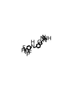 FC(F)(F)c1ccc(NCc2ccc3cc(-c4nn[nH]n4)oc3c2)cc1C(F)(F)F